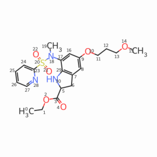 CCOC(=O)C1Cc2cc(OCCCOC)cc(N(C)S(=O)(=O)c3ccccn3)c2N1